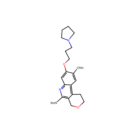 CNc1nc2cc(OCCCN3CCCC3)c(OC)cc2c2c1COCC2